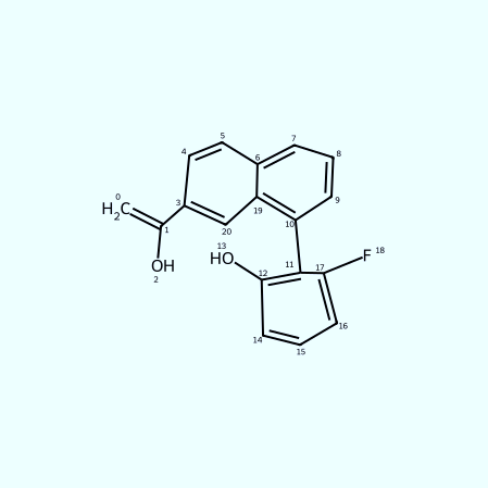 C=C(O)c1ccc2cccc(-c3c(O)cccc3F)c2c1